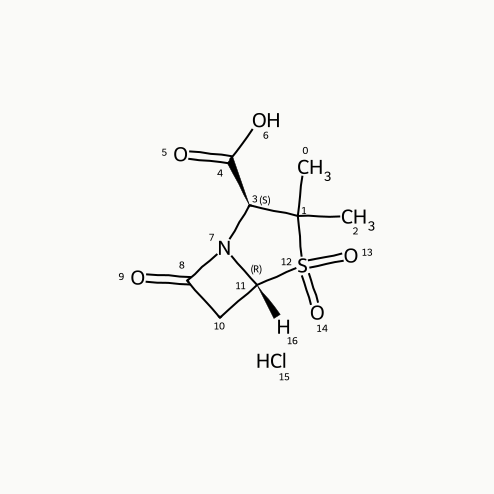 CC1(C)[C@H](C(=O)O)N2C(=O)C[C@H]2S1(=O)=O.Cl